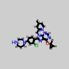 Cc1ccnc(Cn2c(-c3ccc(N4CCCNCC4)cc3Cl)nc3c(OC4(C)CC4)ncnc32)c1